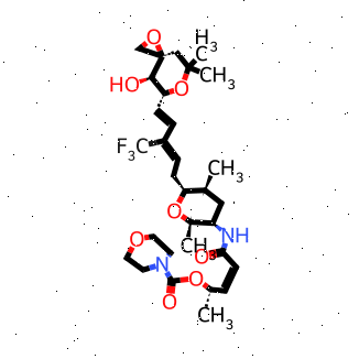 C[C@@H](/C=C\C(=O)N[C@@H]1C[C@H](C)[C@H](C/C=C(/C=C/[C@H]2OC(C)(C)C[C@@]3(CO3)[C@@H]2O)C(F)(F)F)O[C@@H]1C)OC(=O)N1CCOCC1